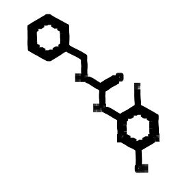 O=C(NCc1ccccc1)Nc1nc(O)ncc1F